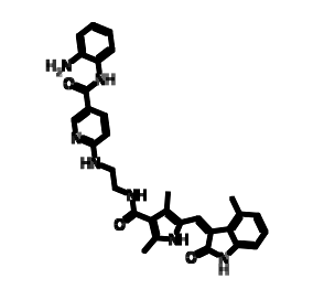 Cc1cccc2c1/C(=C/c1[nH]c(C)c(C(=O)NCCNc3ccc(C(=O)Nc4ccccc4N)cn3)c1C)C(=O)N2